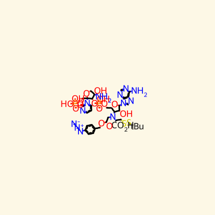 CC(C)(C)SSC[C@@H](C(=O)O)N(CC(=O)OCc1ccc(N=[N+]=[N-])cc1)C1C(COP(=O)(O)OC2C(N)(O)COC2(COP(=O)(O)O)n2cccnc2=O)OC(n2cnc3c(N)ncnc32)C1O